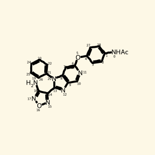 CC(=O)Nc1ccc(Oc2cc3c(cn2)nc(-c2nonc2N)n3-c2ccccc2)cc1